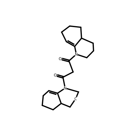 O=C(CC(=O)N1CCCC2CCCC=C21)N1CCCC2CCCC=C21